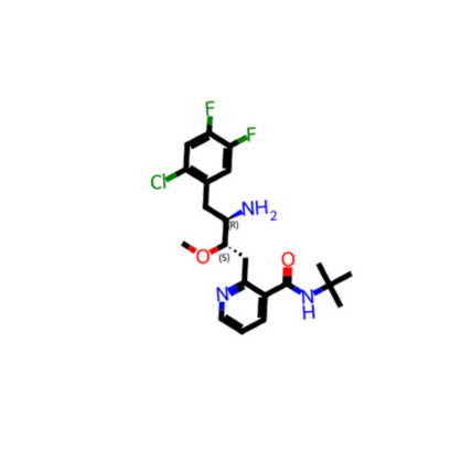 CO[C@@H](Cc1ncccc1C(=O)NC(C)(C)C)[C@H](N)Cc1cc(F)c(F)cc1Cl